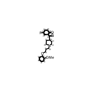 COc1c[c]ccc1OCCCN1CCC(c2noc3ccc(F)cc23)CC1